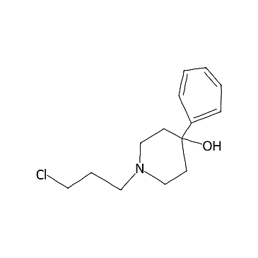 OC1(c2ccccc2)CCN(CCCCl)CC1